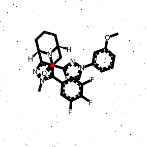 COc1cccc(-n2cnc(C(=O)N3[C@@H]4CCC[C@H]3c3nn(C)c(-c5cc(F)c(F)c(F)c5)c3C4)n2)c1